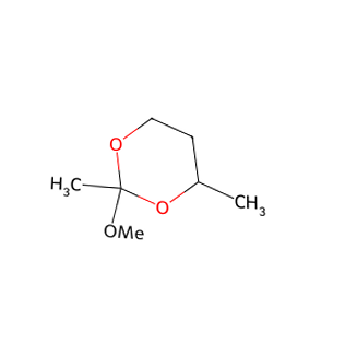 COC1(C)OCCC(C)O1